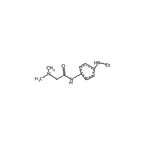 CCNc1[c]cc(NC(=O)CN(C)C)cc1